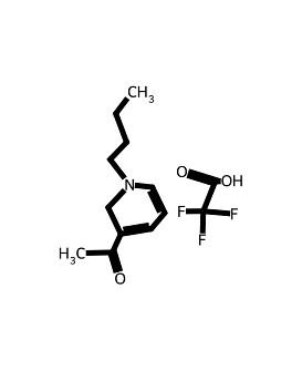 CCCCN1C=CC=C(C(C)=O)C1.O=C(O)C(F)(F)F